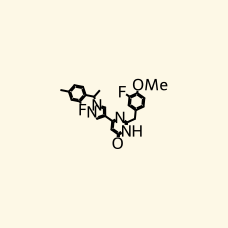 COc1ccc(Cc2nc(-c3cnn(C(C)c4ccc(C)cc4F)c3)cc(=O)[nH]2)cc1F